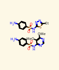 CCc1nnc(NS(=O)(=O)c2ccc(N)cc2)s1.COc1ncnc(NS(=O)(=O)c2ccc(N)cc2)c1OC